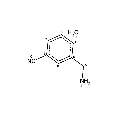 N#Cc1cccc(CN)c1.O